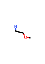 COCC[N]